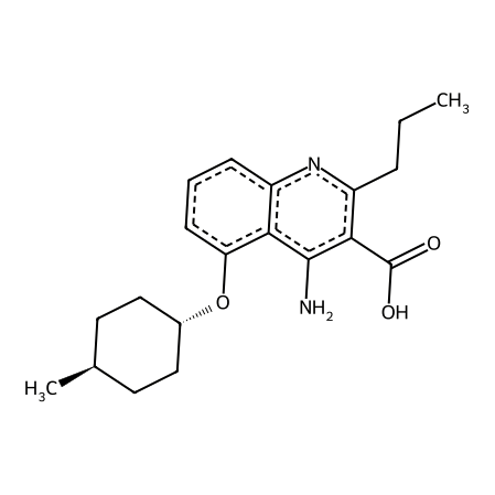 CCCc1nc2cccc(O[C@H]3CC[C@H](C)CC3)c2c(N)c1C(=O)O